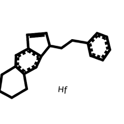 C1=CC(CCc2ccccc2)c2cc3c(cc21)CCCC3.[Hf]